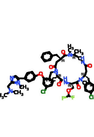 C[C@H]1CNC(=O)C[C@H](Cc2ccc(Cl)cc2)N(C)C(=O)[C@H](COC(F)F)NC(=O)[C@H](C)N(Cc2ccc(Cl)cc2Oc2ccc(-c3cnc(CN(C)C)n3C)cc2)C(=O)C[C@@H](Cc2ccccc2)C(=O)N1C